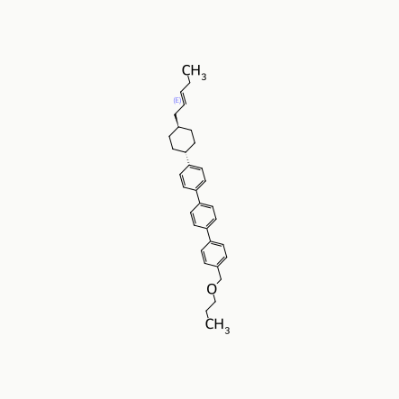 CC/C=C/C[C@H]1CC[C@H](c2ccc(-c3ccc(-c4ccc(COCCC)cc4)cc3)cc2)CC1